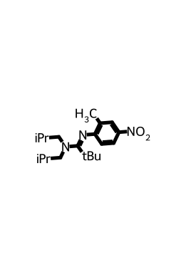 Cc1cc([N+](=O)[O-])ccc1/N=C(/N(CC(C)C)CC(C)C)C(C)(C)C